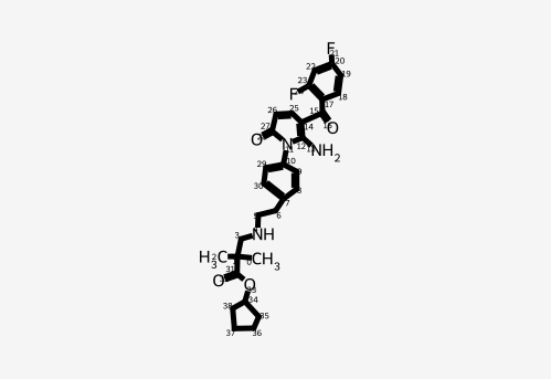 CC(C)(CNCCc1ccc(-n2c(N)c(C(=O)c3ccc(F)cc3F)ccc2=O)cc1)C(=O)OC1CCCC1